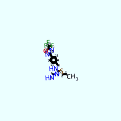 CCCS/C(=N/C=N)NCc1ccc(-c2noc(C(F)(F)F)n2)cc1